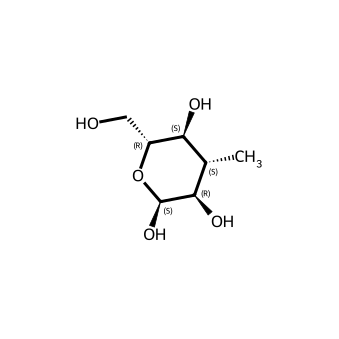 C[C@@H]1[C@@H](O)[C@@H](O)O[C@H](CO)[C@H]1O